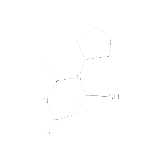 NC1=CC(=O)[N]C(=O)N1C1CCOC1